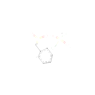 O=S(=O)(Cl)Cl.O=S(=O)=Cc1ccccc1